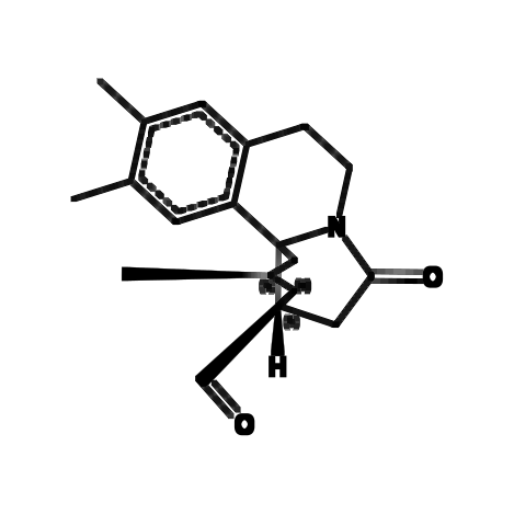 Cc1cc2c(cc1C)C13C[C@H](C)[C@@H](C=O)[C@@H]1CC(=O)N3CC2